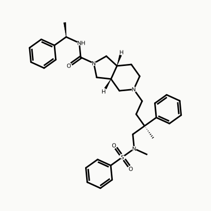 C[C@@H](NC(=O)N1C[C@H]2CN(CC[C@](C)(CN(C)S(=O)(=O)c3ccccc3)c3ccccc3)CC[C@H]2C1)c1ccccc1